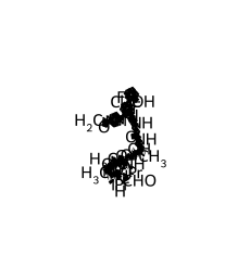 C=CC(=O)N1CCN(c2nc(NCCC(=O)NCC[C@@H](C)[C@@H](O)CC(=O)N[C@@H](CC)C(=O)N(C)CC(=O)N(C)[C@@H](CC(C)C)C(=O)NC(C=O)C(C)C)nc3c(F)c(-c4c(O)cccc4F)c(Cl)cc23)CC1